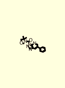 CC1(C)COCN1C(=O)n1nnc2cc(-c3ccccc3)cnc21